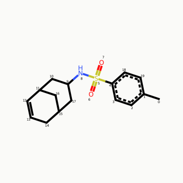 Cc1ccc(S(=O)(=O)NC2CC3C=CCC(C3)C2)cc1